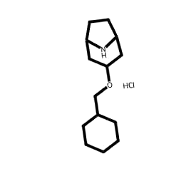 C1CCC(COC2CC3CCC(C2)N3)CC1.Cl